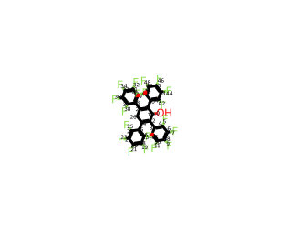 OC1C(c2c(F)c(F)c(F)c(F)c2F)=C(c2c(F)c(F)c(F)c(F)c2F)CC(c2c(F)c(F)c(F)c(F)c2F)=C1c1c(F)c(F)c(F)c(F)c1F